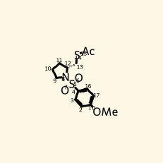 COc1ccc(S(=O)(=O)N2CCC[C@@H]2CSC(C)=O)cc1